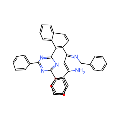 N/C(=C\C(=N/Cc1ccccc1)c1ccc2ccccc2c1-c1nc(-c2ccccc2)nc(-c2ccccc2)n1)c1ccccc1